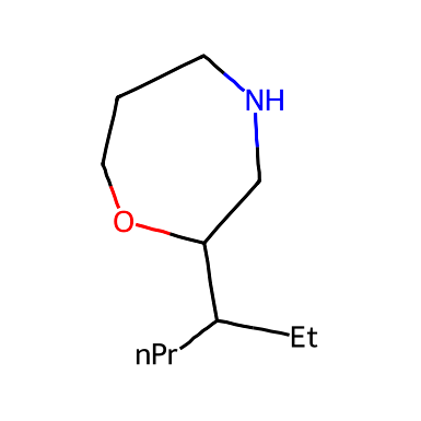 CCCC(CC)C1CNCCCO1